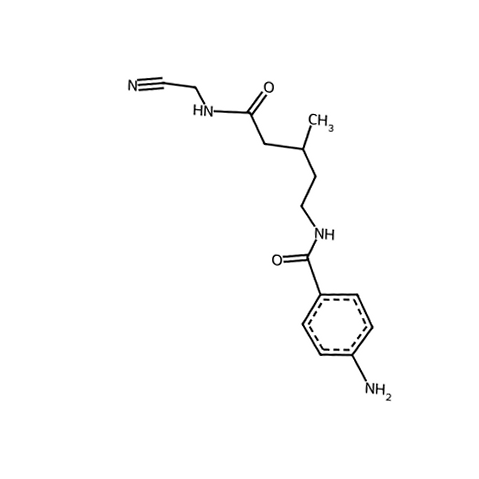 CC(CCNC(=O)c1ccc(N)cc1)CC(=O)NCC#N